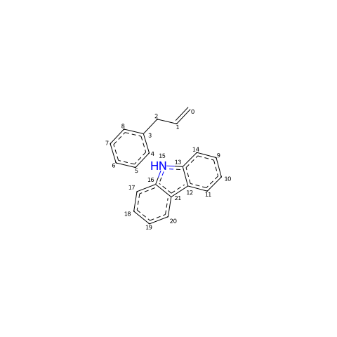 C=CCc1ccccc1.c1ccc2c(c1)[nH]c1ccccc12